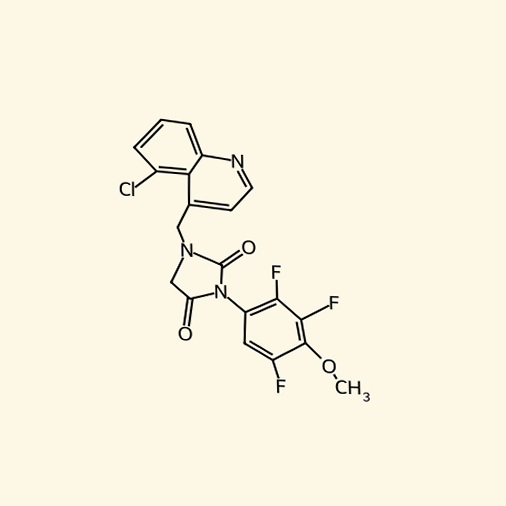 COc1c(F)cc(N2C(=O)CN(Cc3ccnc4cccc(Cl)c34)C2=O)c(F)c1F